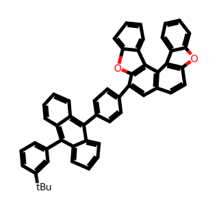 CC(C)(C)c1cccc(-c2c3ccccc3c(-c3ccc(-c4cc5ccc6oc7ccccc7c6c5c5c4oc4ccccc45)cc3)c3ccccc23)c1